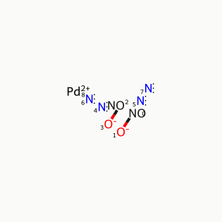 O=N[O-].O=N[O-].[N].[N].[N].[N].[Pd+2]